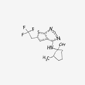 CC1CCCC1(O)Nc1ncnc2sc(CC(F)(F)F)cc12